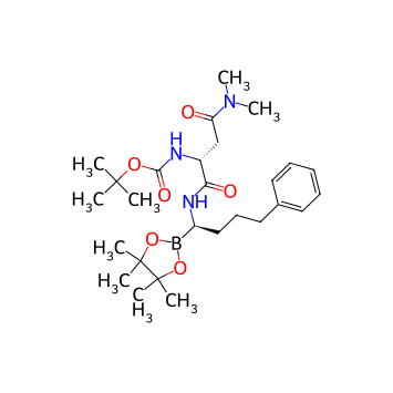 CN(C)C(=O)C[C@@H](NC(=O)OC(C)(C)C)C(=O)N[C@@H](CCCc1ccccc1)B1OC(C)(C)C(C)(C)O1